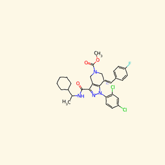 COC(=O)N1C/C(=C\c2ccc(F)cc2)c2c(c(C(=O)NC(C)C3CCCCC3)nn2-c2ccc(Cl)cc2Cl)C1